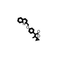 CC1=C(c2ccc(OCc3ccc4ccccc4n3)cc2)C(=O)OC12CC2